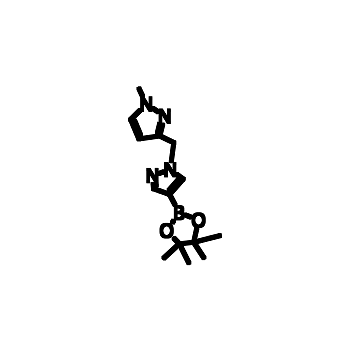 Cn1ccc(Cn2cc(B3OC(C)(C)C(C)(C)O3)cn2)n1